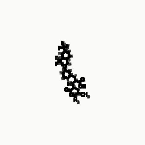 CC(C)CC(NC(Cc1cccc(OCc2ccc(C(F)(F)F)cc2C(F)(F)F)c1)C(=O)O)C(=O)O